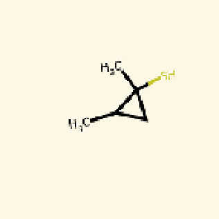 CC1CC1(C)S